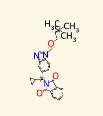 C[Si](C)(C)CCOCn1cnc2cc([C@@H](C3CC3)N3C(=O)c4ccccc4C3=O)ccc21